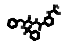 N=C(N)Nc1cccc(C(=O)NOC(=O)[C@H](Cc2ccccc2)NS(=O)(=O)c2ccccc2)c1